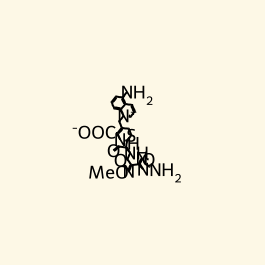 CO/N=C(\C(=O)NC1C(=O)N2C(C(=O)[O-])=C(C[n+]3cccc4c(N)cccc43)CS[C@H]12)c1noc(N)n1